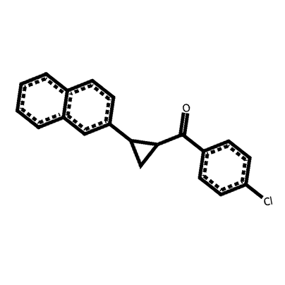 O=C(c1ccc(Cl)cc1)C1CC1c1ccc2ccccc2c1